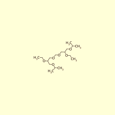 CCOC(COCOCC(COC(C)C)OCC)COC(C)C